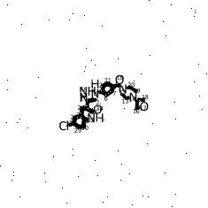 N=N/C(=C\Nc1ccc(C(=O)N2CCN(C3COC3)CC2)cc1)c1cc2cc(Cl)ccc2[nH]c1=O